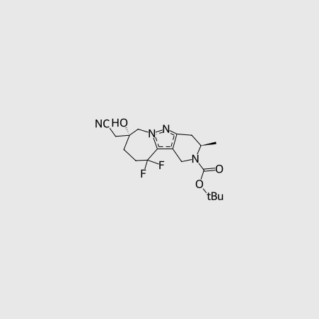 C[C@@H]1Cc2nn3c(c2CN1C(=O)OC(C)(C)C)C(F)(F)CC[C@@](O)(CC#N)C3